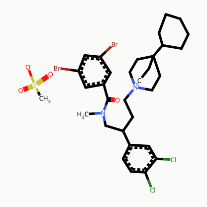 CN(CC(CC[N+]12CCC(C3CCCCC3)(CC1)CC2)c1ccc(Cl)c(Cl)c1)C(=O)c1cc(Br)cc(Br)c1.CS(=O)(=O)[O-]